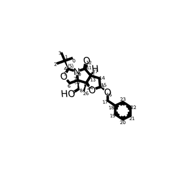 CC(C)(C)[C@@H]1OC[C@]2(CO)N1C(=O)[C@@H]1C[C@@H](OCc3ccccc3)O[C@@]12C